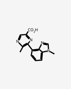 Cc1ncc(C(=O)O)nc1-c1cccc2c1ncn2C